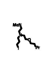 CNCCN(CCCI)CCOCCC(C)C